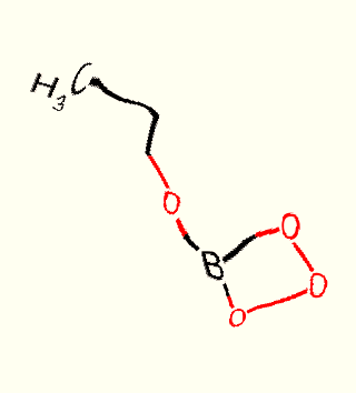 CCOB1OOO1